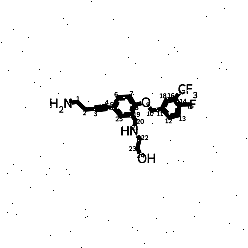 NCCC#Cc1ccc(OCc2ccc(F)c(C(F)(F)F)c2)c(CNCCO)c1